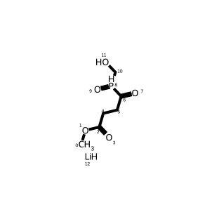 COC(=O)CCC(=O)[PH](=O)CO.[LiH]